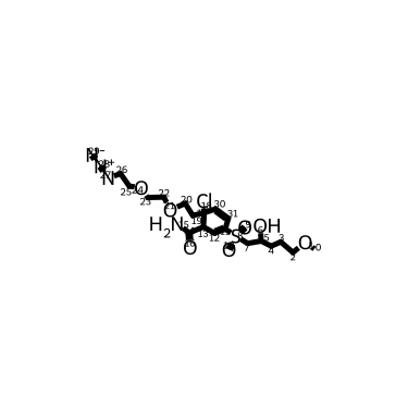 COCCCC(O)CS(=O)(=O)C1=CC(C(N)=O)C(Cl)(CCOCCOCCN=[N+]=[N-])C=C1